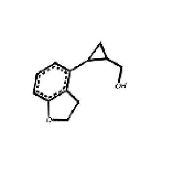 OCC1CC1c1cccc2c1CCO2